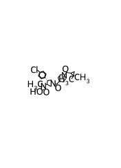 CN(C(=O)O)[C@@H]1CN(C(=O)C2CCN(C(=O)C3CC3(C)C)CC2)C[C@H]1c1ccc(Cl)cc1